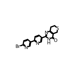 O=c1[nH]c(-c2ccc(-c3ccc(Br)nc3)nc2)nc2c1CSCC2